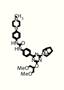 COCC(COC)Oc1nc(-c2ccc(NC(=O)Nc3ccc(N4CCN(C)CC4)cc3)cc2)nc(N2CC3CCC(C2)O3)n1